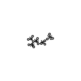 c1ccc(-c2cc(-c3cc(-c4cc(-c5ccccc5)nc(-c5ccccc5)n4)cc(-c4cc(-c5cccc(-c6ccc7c(c6)nc(-c6ccc(-c8ccc(-c9c%10ccc%11ccccc%11c%10nc%10c9ccc9ccccc9%10)cc8)cc6)n7-c6ccccc6)c5)nc(-c5ccccc5)n4)c3)cc(-c3ccccc3)n2)cc1